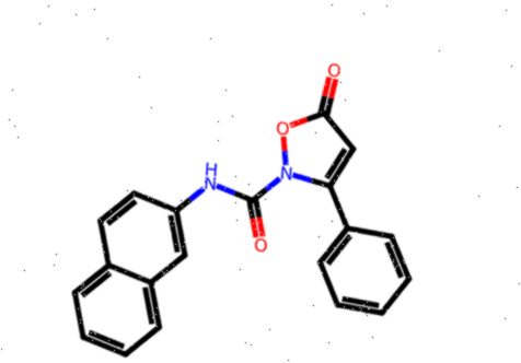 O=C(Nc1ccc2ccccc2c1)n1oc(=O)cc1-c1ccccc1